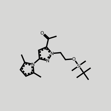 CC(=O)c1cc(-n2c(C)ccc2C)nn1CCO[Si](C)(C)C(C)(C)C